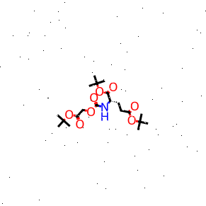 CC(C)(C)OC(=O)CC[C@H](NC(=O)OCC(=O)OC(C)(C)C)C(=O)OC(C)(C)C